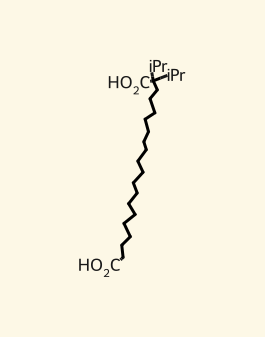 CC(C)C(CCCCCCCCCCCCCCCCCC(=O)O)(C(=O)O)C(C)C